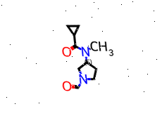 CN(C(=O)C1CC1)[C@H]1CCN(C=O)C1